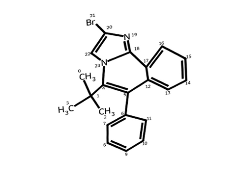 CC(C)(C)c1c(-c2ccccc2)c2ccccc2c2nc(Br)cn12